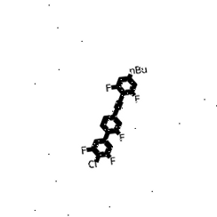 CCCCc1cc(F)c(C#Cc2ccc(-c3cc(F)c(Cl)c(F)c3)c(F)c2)c(F)c1